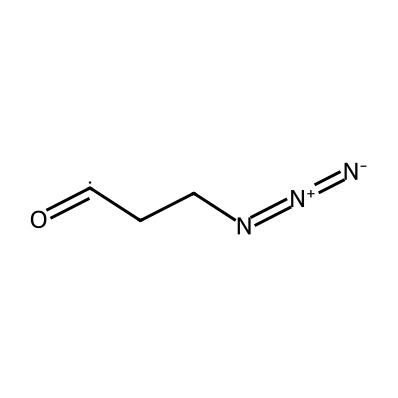 [N-]=[N+]=NCC[C]=O